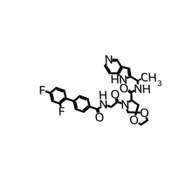 C[C@@H](NC(=O)C1CC2(CN1C(=O)CNC(=O)c1ccc(-c3ccc(F)cc3F)cc1)OCCO2)c1cc2cnccc2[nH]1